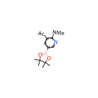 CNc1ncc(B2OC(C)(C)C(C)(C)O2)cc1C(C)=O